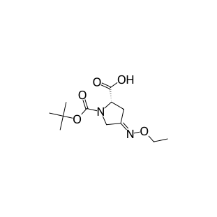 CCO/N=C1\C[C@@H](C(=O)O)N(C(=O)OC(C)(C)C)C1